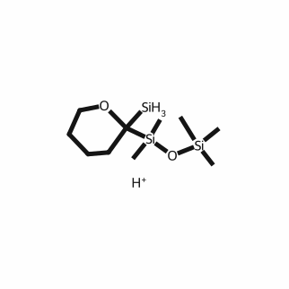 C[Si](C)(C)O[Si](C)(C)C1([SiH3])CCCCO1.[H+]